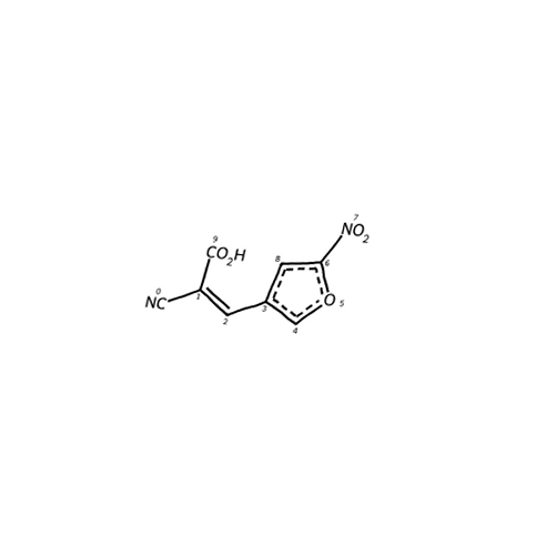 N#CC(=Cc1coc([N+](=O)[O-])c1)C(=O)O